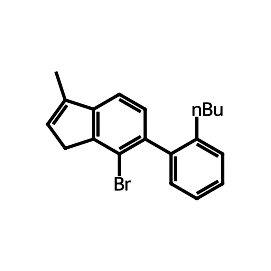 CCCCc1ccccc1-c1ccc2c(c1Br)CC=C2C